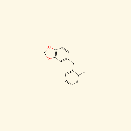 [CH2]c1ccccc1Cc1ccc2c(c1)OCO2